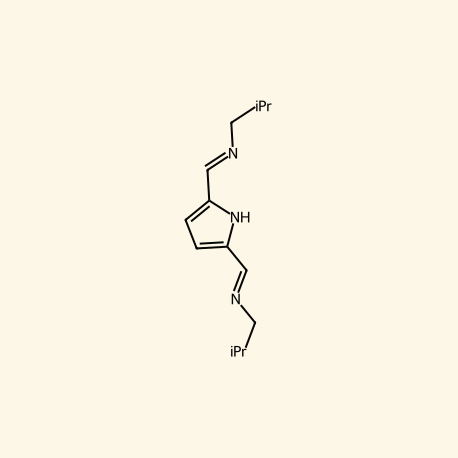 CC(C)C/N=C/c1ccc(/C=N/CC(C)C)[nH]1